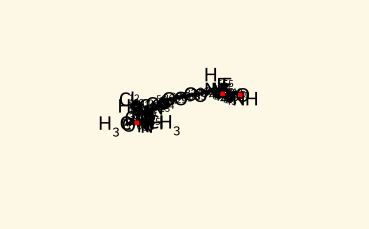 COC(=O)C[C@@H]1N=C(c2ccc(Cl)cc2)c2c(sc(C(=O)Nc3ccc(OCCOCCOCCOCCNc4ccc(-c5ccc6c(c5)CC(=O)N6)c(C(F)(F)F)n4)cc3)c2C)-n2c(C)nnc21